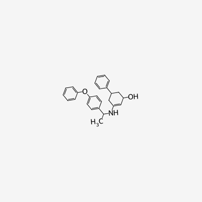 CC(NC1=CC(O)CC(c2ccccc2)C1)c1ccc(Oc2ccccc2)cc1